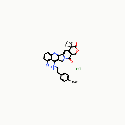 CC[C@@]1(OC(C)=O)C(=O)OCc2c1cc1n(c2=O)Cc2c-1nc1cccc(N)c1c2NCCc1ccc(OC)cc1.Cl